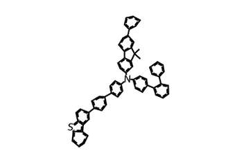 CC1(C)c2cc(-c3ccccc3)ccc2-c2ccc(N(c3ccc(-c4ccc(-c5ccc6sc7ccccc7c6c5)cc4)cc3)c3ccc(-c4ccccc4-c4ccccc4)cc3)cc21